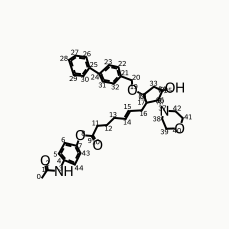 CC(=O)Nc1ccc(OC(=O)CCCC=CCC2[C@@H](OCc3ccc(-c4ccccc4)cc3)C[C@@H](O)[C@@H]2N2CCOCC2)cc1